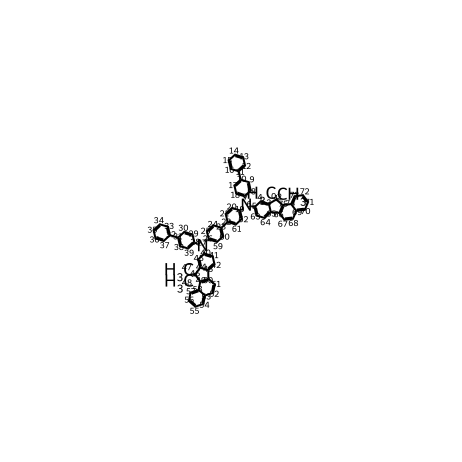 CC1(C)c2cc(N(c3ccc(-c4ccccc4)cc3)c3ccc(-c4ccc(N(c5ccc(-c6ccccc6)cc5)c5ccc6c(c5)C(C)(C)c5c-6ccc6ccccc56)cc4)cc3)ccc2-c2ccc3ccccc3c21